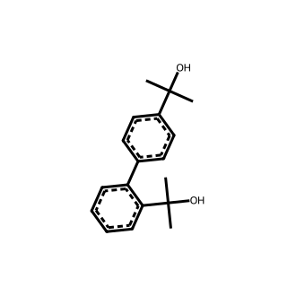 CC(C)(O)c1ccc(-c2ccccc2C(C)(C)O)cc1